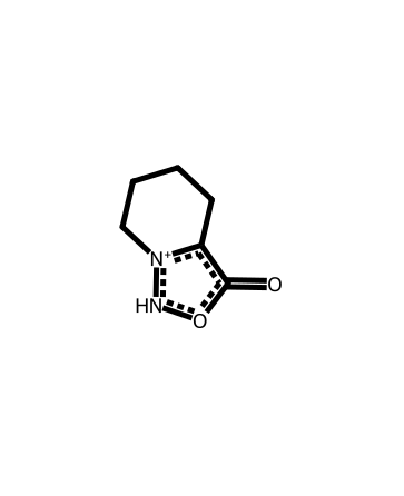 O=c1o[nH][n+]2c1CCCC2